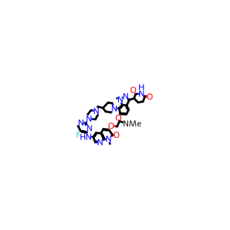 CNC(=O)COc1cc2cc(Nc3nc(N4CCN(CC5CCN(c6cccc7c(C8CCC(=O)NC8=O)nn(C)c67)CC5)CC4)ncc3F)cnc2n(C)c1=O